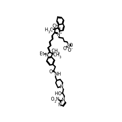 CCN1/C(=C/C=C/C=C/C2=[N+](CCCCS(=O)(=O)[O-])c3ccc4ccccc4c3C2(C)C)C(C)(C)c2cc(CC(=O)NCC3CCN(CC(O)Cn4ccnc4[N+](=O)[O-])CC3)ccc21